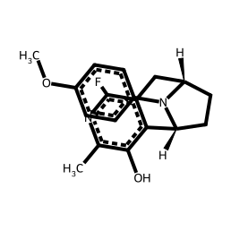 COc1ccc(N2[C@H]3CC[C@@H]2c2c(O)c(C)nc(F)c2C3)cc1